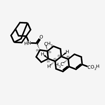 C[C@]12CC[C@H]3[C@@H](CC=C4C=C(C(=O)O)CC[C@@]43C)[C@@H]1CC[C@@H]2C(=O)NC12CC3CC(CC(C3)C1)C2